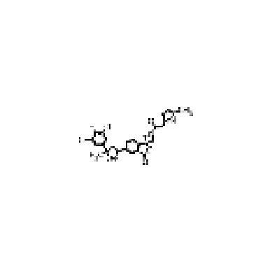 Cc1ccn(CC(=O)N2CC3(C2)OC(=O)c2cc(C4=NOC(c5cc(Cl)c(F)c(Cl)c5)(C(F)(F)F)C4)ccc23)n1